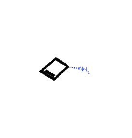 N[C@@H]1C=CC1